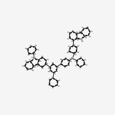 c1ccc(-c2cc(-c3ccc(N(c4ccccc4)c4ccc(-c5cccc6c5sc5ccccc56)cc4)cc3)cc(-c3ccc4c(c3)c3ccccc3n4-c3ccccc3)c2)cc1